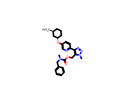 CN(Cc1ccccc1)C(=O)OCc1c(-c2ccc(O[C@H]3CCC[C@H](C(=O)O)C3)cn2)nnn1C